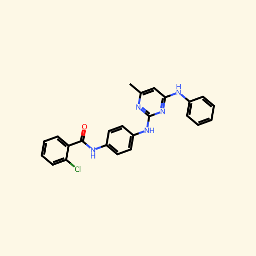 Cc1cc(Nc2ccccc2)nc(Nc2ccc(NC(=O)c3ccccc3Cl)cc2)n1